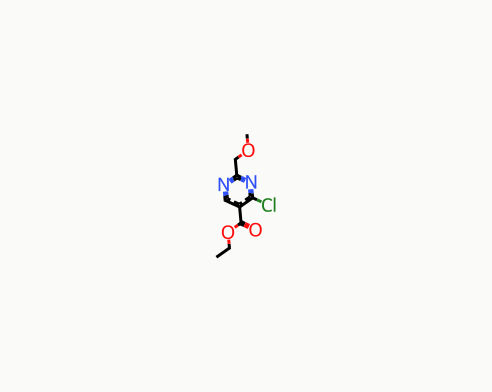 CCOC(=O)c1cnc(COC)nc1Cl